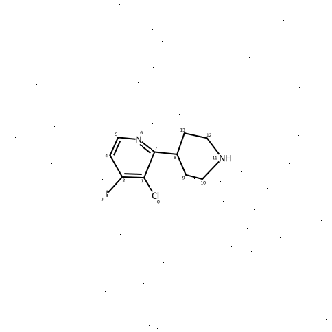 Clc1c(I)ccnc1C1CCNCC1